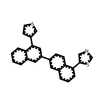 c1ccc2c(-c3ccsc3)cc(-c3ccc4c(-c5cncs5)cccc4c3)cc2c1